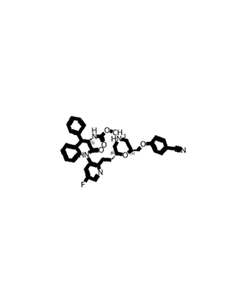 COC(=O)N[C@H](C(=O)Nc1cc(F)cnc1CC[C@@H]1CNC[C@@H](COc2ccc(C#N)cc2)O1)C(c1ccccc1)c1ccccc1